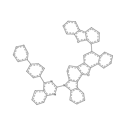 c1ccc(-c2ccc(-c3nc(-n4c5ccccc5c5c6oc7c8ccccc8c(-c8cccc9c8oc8ccccc89)cc7c6ccc54)nc4ccccc34)cc2)cc1